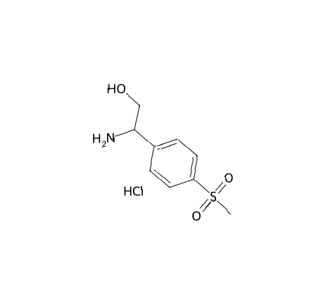 CS(=O)(=O)c1ccc(C(N)CO)cc1.Cl